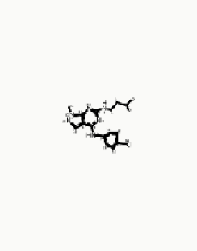 CC(C)CCNc1nc(Nc2ccc(Cl)cc2)c2cnn(C)c2n1